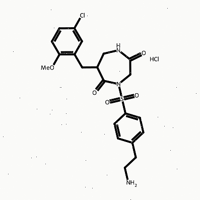 COc1ccc(Cl)cc1CC1CNC(=O)CN(S(=O)(=O)c2ccc(CCN)cc2)C1=O.Cl